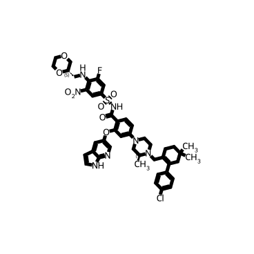 C[C@H]1CN(c2ccc(C(=O)NS(=O)(=O)c3cc(F)c(NC[C@H]4COCCO4)c([N+](=O)[O-])c3)c(Oc3cnc4[nH]ccc4c3)c2)CCN1CC1=C(c2ccc(Cl)cc2)CC(C)(C)CC1